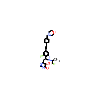 CC(CF)NCC(Cc1nc[nH]c(=O)c1O)c1ccc(C#Cc2ccc(CN3CCOCC3)cc2)cc1F